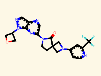 O=C1N(c2cnc3cnn(C4COC4)c3n2)CCC12CN(c1ccnc(C(F)(F)F)c1)C2